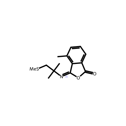 CSCC(C)(C)/N=C1/OC(=O)c2cccc(C)c21